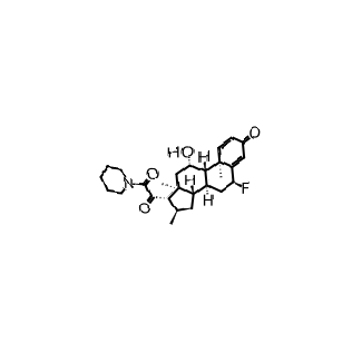 C[C@@H]1C[C@H]2[C@@H]3C[C@H](F)C4=CC(=O)C=C[C@]4(C)[C@H]3[C@@H](O)C[C@]2(C)[C@H]1C(=O)C(=O)N1CCCCC1